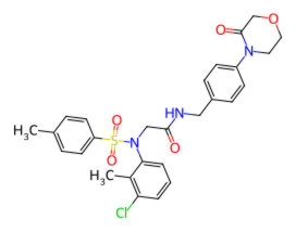 Cc1ccc(S(=O)(=O)N(CC(=O)NCc2ccc(N3CCOCC3=O)cc2)c2cccc(Cl)c2C)cc1